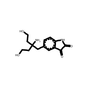 NC(CCO)(CCO)Cc1ccc2c(c1)C(=O)C(=O)N2